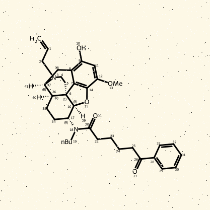 C=CCN1CC[C@]23c4c5c(O)cc(OC)c4O[C@H]2[C@H](N(CCCC)C(=O)CCCCC(=O)c2ccccc2)CC[C@H]3[C@H]1C5